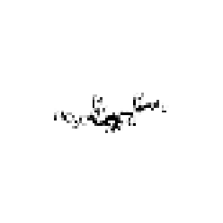 CC(=O)CCNC(=O)Cn1cc(CC(N)C(=O)O)nn1